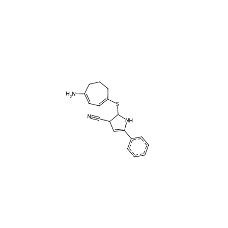 N#CC1C=C(c2ccccc2)NC1SC1=CC=C(N)CCC1